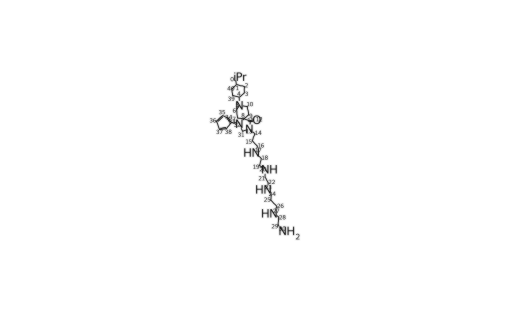 CC(C)C1CCC(N2CCC3(CC2)C(=O)N(CCCNCCNCCNCCCNCCN)CN3c2ccccc2)CC1